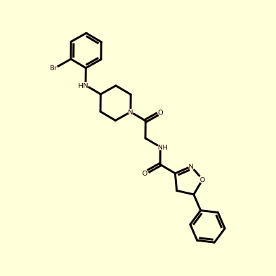 O=C(NCC(=O)N1CCC(Nc2ccccc2Br)CC1)C1=NOC(c2ccccc2)C1